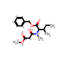 CCC(C)C(C(=O)OCc1ccccc1)N(C)C(=O)CC(=O)OC